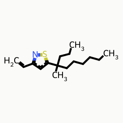 C=Cc1cc(C(C)(CCC)CCCCCC)sn1